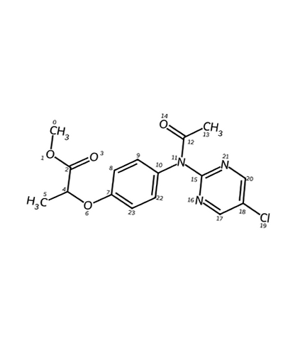 COC(=O)C(C)Oc1ccc(N(C(C)=O)c2ncc(Cl)cn2)cc1